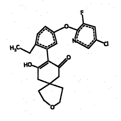 CCc1ccc(Oc2ncc(Cl)cc2F)cc1C1=C(O)CC2(CCOCC2)CC1=O